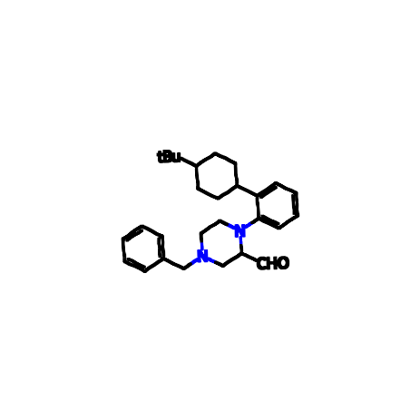 CC(C)(C)C1CCC(c2ccccc2N2CCN(Cc3ccccc3)CC2C=O)CC1